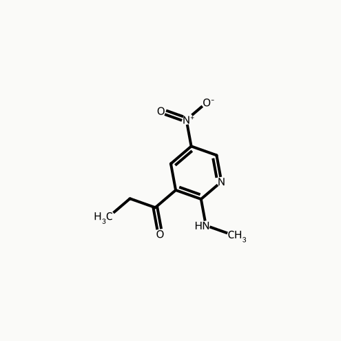 CCC(=O)c1cc([N+](=O)[O-])cnc1NC